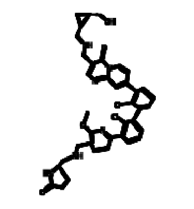 COc1nc(-c2cccc(-c3cccc(-c4ccn5c(=O)c(CNC[C@H]6C[C@@H]6CO)cnc5c4)c3Cl)c2Cl)ccc1CNCC1CCC(=O)N1